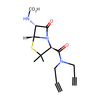 C#CCN(CC#C)C(=O)[C@@H]1N2C(=O)[C@@H](NC(=O)O)[C@H]2SC1(C)C